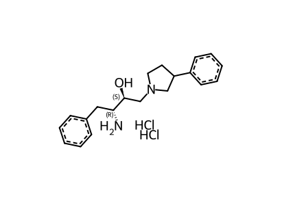 Cl.Cl.N[C@H](Cc1ccccc1)[C@@H](O)CN1CCC(c2ccccc2)C1